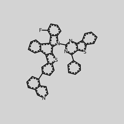 Fc1cccc2c1c1c3ccccc3c3c4cc(-c5cccc6cnccc56)ccc4sc3c1n2-c1nc(-c2ccccc2)c2sc3ccccc3c2n1